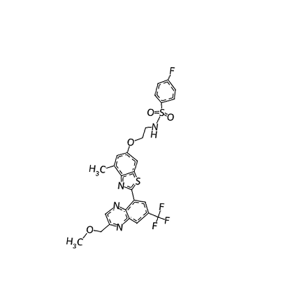 COCc1cnc2c(-c3nc4c(C)cc(OCCNS(=O)(=O)c5ccc(F)cc5)cc4s3)cc(C(F)(F)F)cc2n1